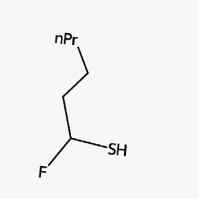 CCCCCC(F)S